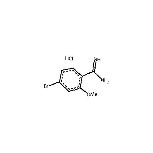 COc1cc(Br)ccc1C(=N)N.Cl